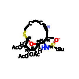 CC(=O)O[C@@H]1[C@H](OC(C)=O)[C@@H](OC(C)=O)[C@@H]2O[C@@H]1[C@H](N[S@+]([O-])C(C)(C)C)[C@H](C)/C=C\CCCCS2